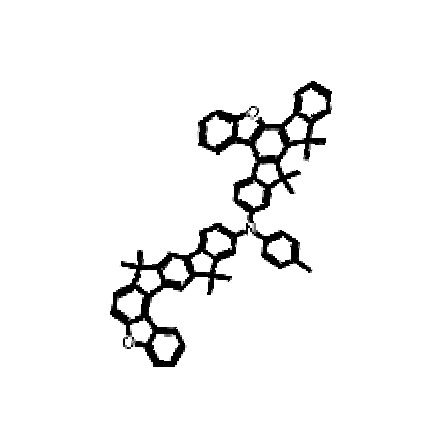 Cc1ccc(N(c2ccc3c(c2)C(C)(C)c2cc4c(cc2-3)C(C)(C)c2ccc3oc5ccccc5c3c2-4)c2ccc3c(c2)C(C)(C)c2c4c(c5oc6ccccc6c5c2-3)-c2ccccc2C4(C)C)cc1